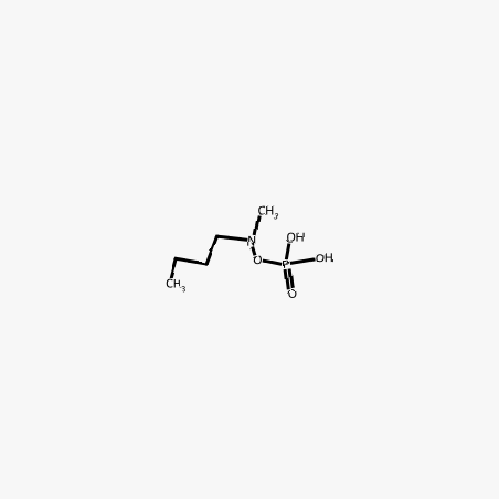 CCCCN(C)OP(=O)(O)O